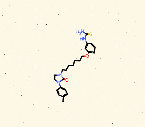 Cc1ccc(N2CCN(CCCCCCCOc3cccc(NC(N)=S)c3)C2=O)cc1